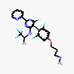 CNCCCOc1cc(F)c(-c2c(Cl)nc(-c3ccccn3)nc2NC(C)C(F)(F)F)c(F)c1